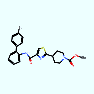 CCc1ccc(-c2ccccc2NC(=O)c2csc(C3CCN(C(=O)OC(C)(C)C)CC3)n2)cc1